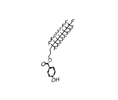 O=C(OCCCC(F)(F)C(F)(F)C(F)(F)C(F)(F)C(F)(F)C(F)(F)C(F)(F)C(F)(F)F)c1ccc(O)cc1